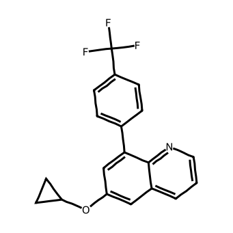 FC(F)(F)c1ccc(-c2cc(OC3CC3)cc3cccnc23)cc1